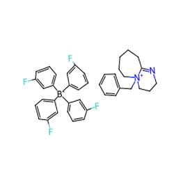 Fc1cccc([B-](c2cccc(F)c2)(c2cccc(F)c2)c2cccc(F)c2)c1.c1ccc(C[N+]23CCCCCC2=NCCC3)cc1